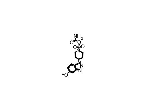 COc1ccc2c(c1)nnn2C1CCN(S(=O)(=O)OC(N)=O)CC1